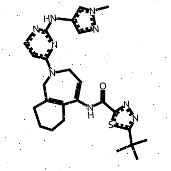 Cn1cc(Nc2nccc(N3CC=C(NC(=O)c4nnc(C(C)(C)C)s4)C4=C(CCCC4)C3)n2)cn1